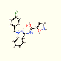 OC(Nc1nn(Cc2ccc(Cl)cc2)c2ccccc12)c1ccno1